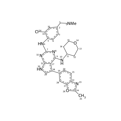 CNCc1ccc(Nc2nc(NC3CCOCC3)c3c(-c4ccc5nc(C)oc5c4)c[nH]c3n2)c(Cl)c1